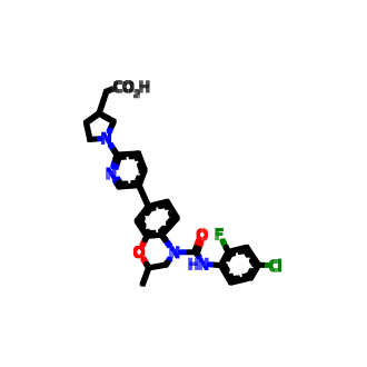 CC1CN(C(=O)Nc2ccc(Cl)cc2F)c2ccc(-c3ccc(N4CCC(CC(=O)O)C4)nc3)cc2O1